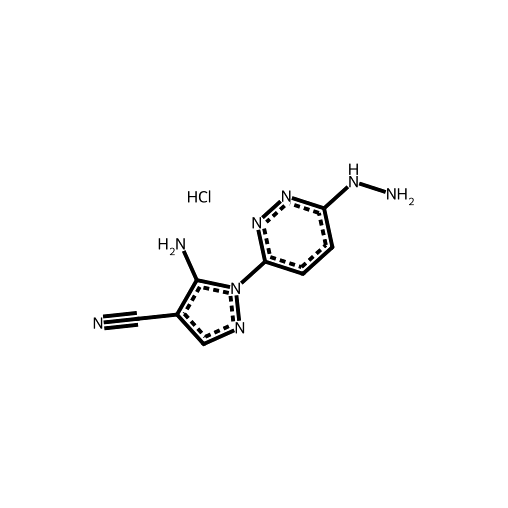 Cl.N#Cc1cnn(-c2ccc(NN)nn2)c1N